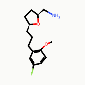 COc1ccc(F)cc1CCC[C@H]1CC[C@@H](CN)O1